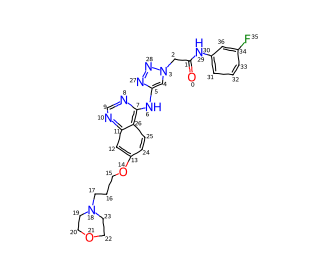 O=C(Cn1cc(Nc2ncnc3cc(OCCCN4CCOCC4)ccc23)nn1)Nc1cccc(F)c1